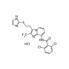 Cl.O=C(Nc1cccn2c(CCSc3ncc[nH]3)c(C(F)(F)F)nc12)c1c(Cl)cccc1Cl